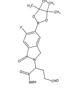 CNC(=O)C(CCC=O)N1Cc2cc(B3OC(C)(C)C(C)(C)O3)c(F)cc2C1=O